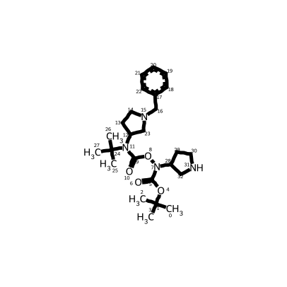 CC(C)(C)OC(=O)N(OC(=O)N(C1CCN(Cc2ccccc2)C1)C(C)(C)C)C1CCNC1